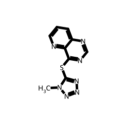 Cn1nnnc1Sc1ncnc2cccnc12